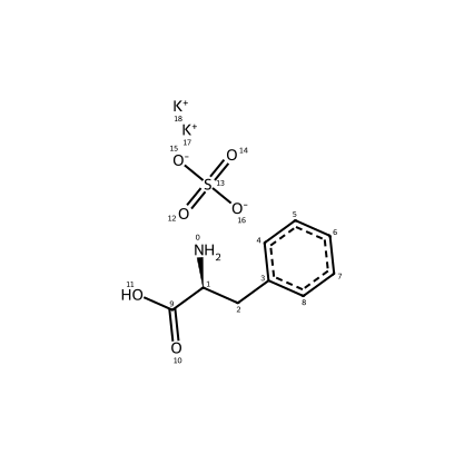 N[C@@H](Cc1ccccc1)C(=O)O.O=S(=O)([O-])[O-].[K+].[K+]